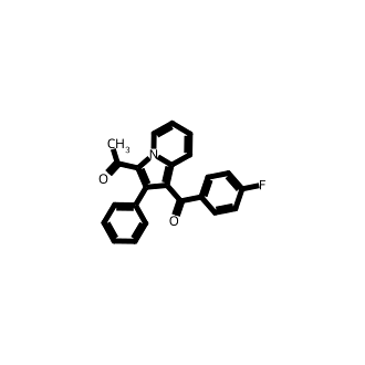 CC(=O)c1c(-c2ccccc2)c(C(=O)c2ccc(F)cc2)c2ccccn12